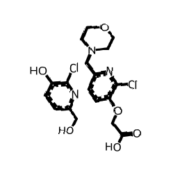 O=C(O)COc1ccc(CN2CCOCC2)nc1Cl.OCc1ccc(O)c(Cl)n1